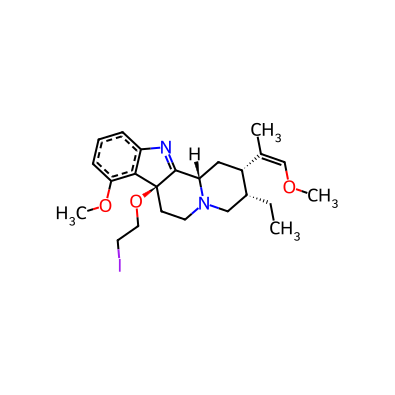 CC[C@@H]1CN2CC[C@@]3(OCCI)C(=Nc4cccc(OC)c43)[C@@H]2C[C@@H]1/C(C)=C\OC